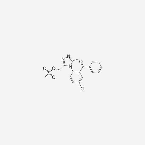 Cc1nnc(COS(C)(=O)=O)n1-c1ccc(Cl)cc1C(=O)c1ccccc1